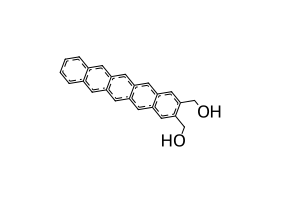 OCc1cc2cc3cc4cc5ccccc5cc4cc3cc2cc1CO